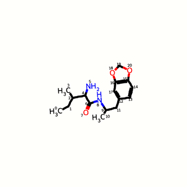 CCC(C)C(N)C(=O)NC(C)Cc1ccc2c(c1)OCO2